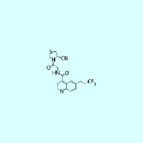 N#C[C@@H]1CSCN1C(=O)CNC(=O)c1ccnc2ccc(CCC(F)(F)F)cc12